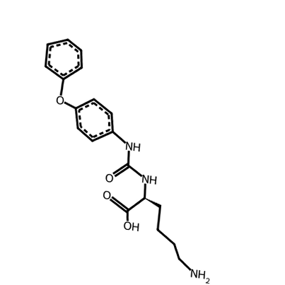 NCCCC[C@H](NC(=O)Nc1ccc(Oc2ccccc2)cc1)C(=O)O